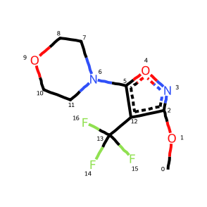 COc1noc(N2CCOCC2)c1C(F)(F)F